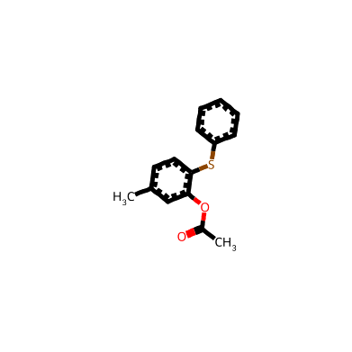 CC(=O)Oc1cc(C)ccc1Sc1ccccc1